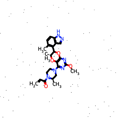 C=CC(=O)N1CCN(c2nc(OC)nc3c2O[C@H](C)C(c2c(C)ccc4[nH]ncc24)O3)C[C@H]1C